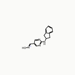 O/N=C/c1cnc(NC2Cc3ccccc3C2)nc1